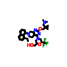 CCc1cccc2cccc(N3CCc4c(nc(OCC5(CN(C)C)CC5)nc4N4CC(CO)OC(C(F)(F)F)C4)C3)c12